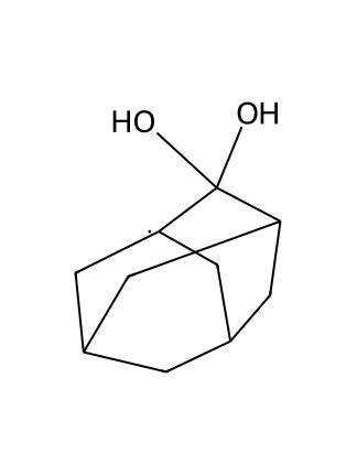 OC1(O)[C]2CC3CC(C2)CC1C3